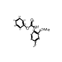 COc1cc(F)ccc1NC(=O)Oc1ccccc1